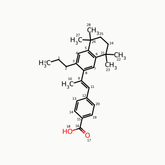 CCCc1cc2c(cc1/C(C)=C/c1ccc(C(=O)O)cc1)C(C)(C)CCC2(C)C